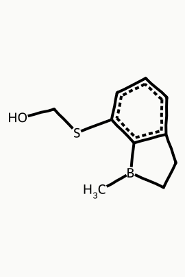 CB1CCc2cccc(SCO)c21